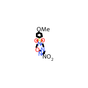 COc1ccc(S(=O)(=O)N2CCOc3nc([N+](=O)[O-])cn3CC2)cc1